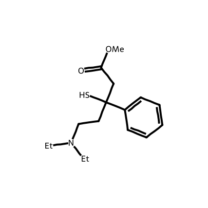 CCN(CC)CCC(S)(CC(=O)OC)c1ccccc1